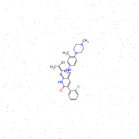 C/C=C1/C=C(c2ccccc2Cl)C(=O)N/C1=N/C(Nc1ccc(N2CCN(C)CC2)c(C)c1)=C(\C)CC